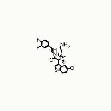 CP(=O)(OCCN)C(C(=O)N/C=C/c1ccc(F)c(F)c1)c1csc2ccc(Cl)cc12